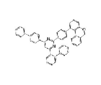 c1ccc(-c2ccc(-c3cc(-c4ccccc4-c4ccccc4)nc(-c4ccc(-c5cccc6c5-c5ccccc5CO6)cc4)n3)cc2)cc1